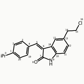 CC(C)c1ccc(C=C2C(=O)Nc3ccc(CCCl)cc32)cc1